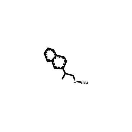 [CH2]CCCOCC(C)c1ccc2ccccc2c1